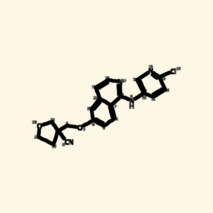 N#CC1(COc2ccc3c(Nc4ccc(Cl)nc4)nccc3c2)CCOC1